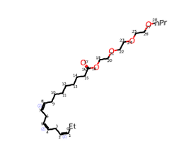 CC/C=C\C/C=C\C/C=C\CCCCCCCC(=O)OCCOCCOCCOCCC